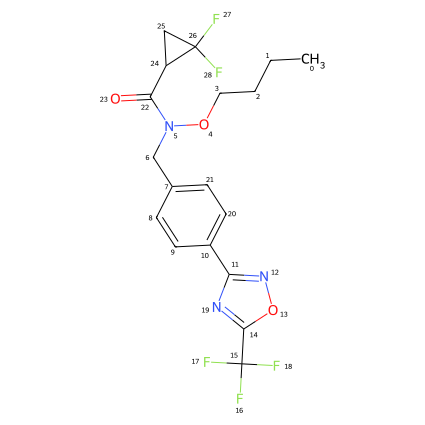 CCCCON(Cc1ccc(-c2noc(C(F)(F)F)n2)cc1)C(=O)C1CC1(F)F